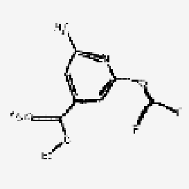 C=C(OCC)c1cc(C)nc(OC(F)F)c1